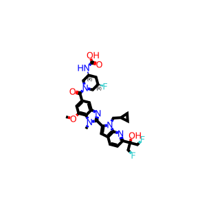 COc1cc(C(=O)N2C[C@H](F)C[C@@H](NC(=O)O)C2)cc2nc(-c3cc4ccc(C(O)(CF)CF)nc4n3CC3CC3)n(C)c12